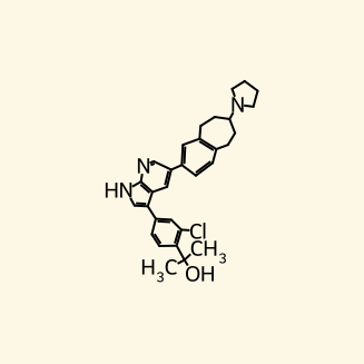 CC(C)(O)c1ccc(-c2c[nH]c3ncc(-c4ccc5c(c4)CCC(N4CCCC4)CC5)cc23)cc1Cl